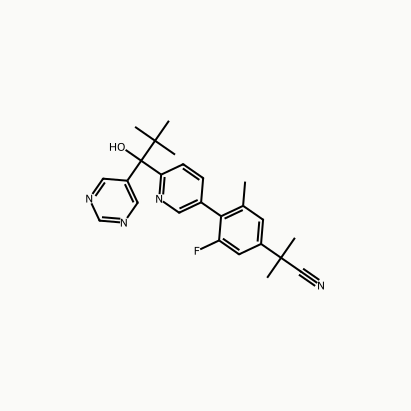 Cc1cc(C(C)(C)C#N)cc(F)c1-c1ccc(C(O)(c2cncnc2)C(C)(C)C)nc1